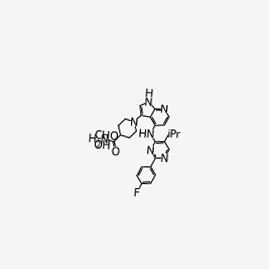 CC(C)c1cnc(-c2ccc(F)cc2)nc1Nc1ccnc2[nH]cc(N3CCC(C(N)=O)CC3)c12.O=CO